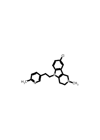 Cc1ccc(CCn2c3c(c4cc(Cl)ccc42)CN(C)CC3)cn1